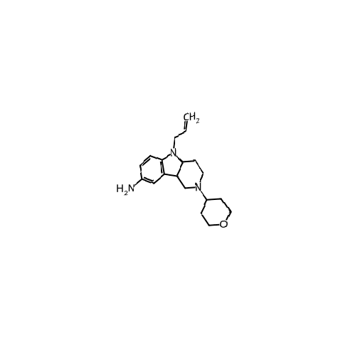 C=CCN1c2ccc(N)cc2C2CN(C3CCOCC3)CCC21